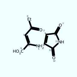 CCC(=O)C=C(N)C(=O)O.O=C1C=CC(=O)N1